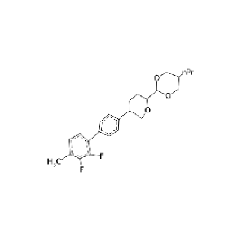 CCCC1COC(C2CCC(c3ccc(-c4ccc(C)c(F)c4F)cc3)CO2)OC1